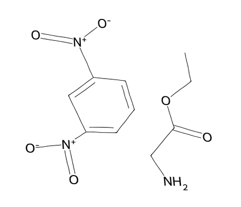 CCOC(=O)CN.O=[N+]([O-])c1cccc([N+](=O)[O-])c1